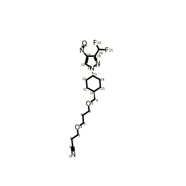 N#CCCOCCCOC[C@H]1CC[C@H](n2cc(N=O)c(C(F)F)n2)CC1